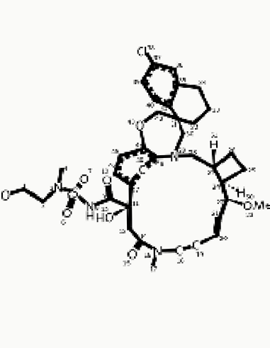 COCCN(C)S(=O)(=O)NC(=O)[C@@]1(O)CC(=O)N(C)CC/C=C/[C@H](OC)[C@@H]2CC[C@H]2CN2C[C@@]3(CCCc4cc(Cl)ccc43)COc3ccc1cc32